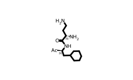 CC(=O)[C@H](CC1CCCCC1)NC(=O)[C@@H](N)CCN